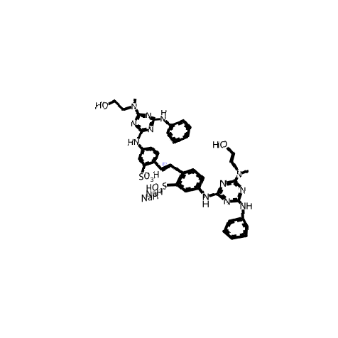 CN(CCO)c1nc(Nc2ccccc2)nc(Nc2ccc(/C=C/c3ccc(Nc4nc(Nc5ccccc5)nc(N(C)CCO)n4)cc3S(=O)(=O)O)c(S(=O)(=O)O)c2)n1.[NaH].[NaH]